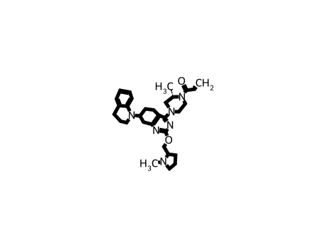 C=CC(=O)N1CCN(c2nc(OCC3CCCN3C)nc3c2CCC(N2CCCc4ccccc42)C3)C[C@@H]1C